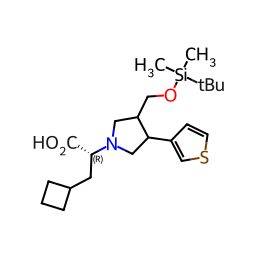 CC(C)(C)[Si](C)(C)OCC1CN([C@H](CC2CCC2)C(=O)O)CC1c1ccsc1